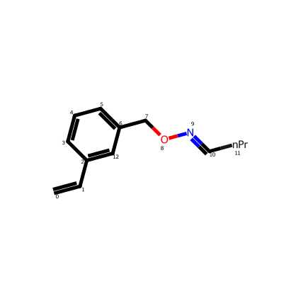 C=Cc1cccc(CO/N=[C]/CCC)c1